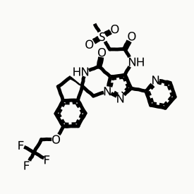 CS(=O)(=O)CC(=O)Nc1c(-c2ccccn2)nn2c1C(=O)N[C@]1(CCc3cc(OCC(F)(F)F)ccc31)C2